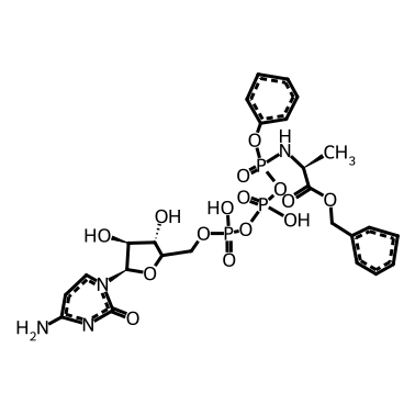 C[C@H](NP(=O)(Oc1ccccc1)OP(=O)(O)OP(=O)(O)OCC1O[C@@H](n2ccc(N)nc2=O)[C@@H](O)[C@@H]1O)C(=O)OCc1ccccc1